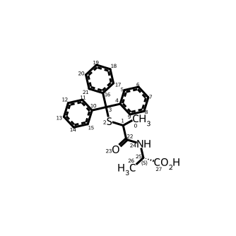 CC(SC(c1ccccc1)(c1ccccc1)c1ccccc1)C(=O)N[C@@H](C)C(=O)O